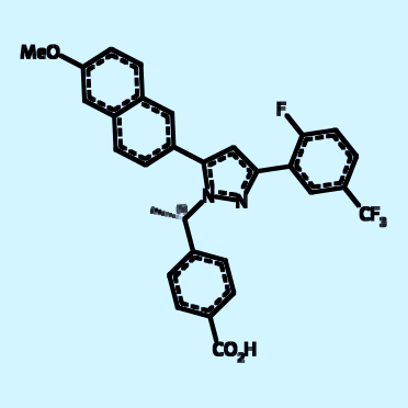 COc1ccc2cc(-c3cc(-c4cc(C(F)(F)F)ccc4F)nn3[C@@H](C)c3ccc(C(=O)O)cc3)ccc2c1